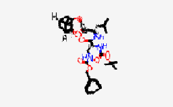 CC(C)C[C@H](NC(=O)[C@H](CNC(=O)OCc1ccccc1)NC(=O)OC(C)(C)C)B1OC2C[C@@H]3C[C@@H](C3(C)C)[C@]2(C)O1